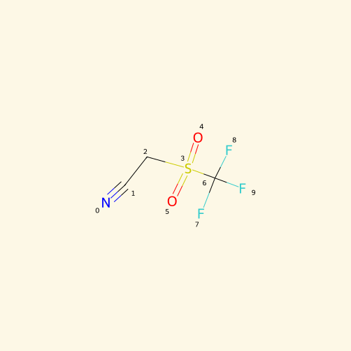 N#CCS(=O)(=O)C(F)(F)F